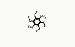 Nc1c(SF)c(SF)c(SF)c(SF)c1SF